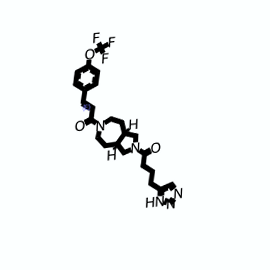 O=C(/C=C/c1ccc(OC(F)(F)F)cc1)N1CC[C@@H]2CN(C(=O)CCCc3cnn[nH]3)C[C@@H]2CC1